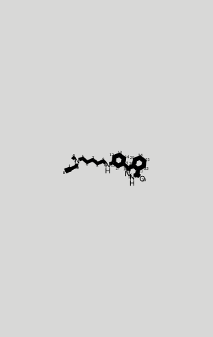 C#CCN(C)CCCCCNc1cccc(-c2n[nH]c(=O)c3ccccc23)c1